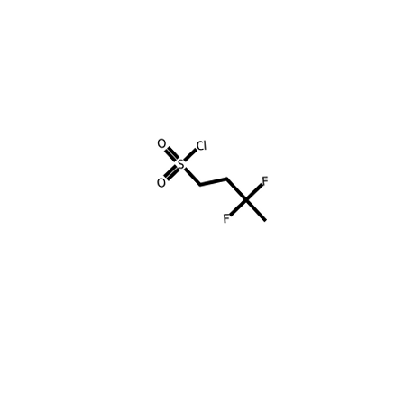 CC(F)(F)CCS(=O)(=O)Cl